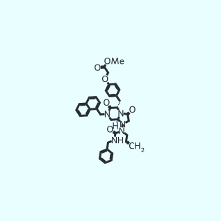 C=CCN(C(=O)NCc1ccccc1)N1CC(=O)N2[C@@H](Cc3ccc(OCC(=O)OC)cc3)C(=O)N(Cc3cccc4ccccc34)C[C@@H]21